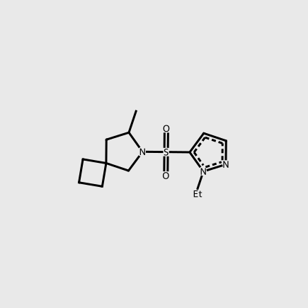 CCn1nccc1S(=O)(=O)N1CC2(CCC2)CC1C